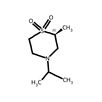 CC(C)N1CCS(=O)(=O)[C@@H](C)C1